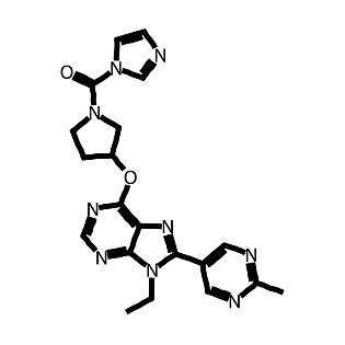 CCn1c(-c2cnc(C)nc2)nc2c(OC3CCN(C(=O)n4ccnc4)C3)ncnc21